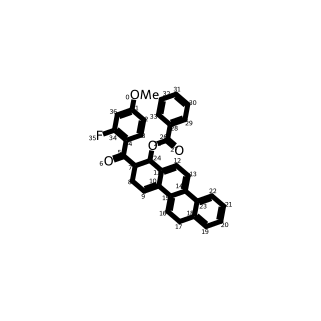 COc1ccc(C(=O)C2CC=c3c(ccc4c3=CCc3ccccc3-4)C2OC(=O)c2ccccc2)c(F)c1